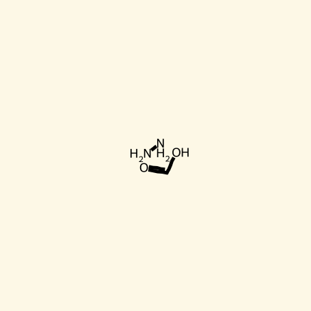 NN.O=CO